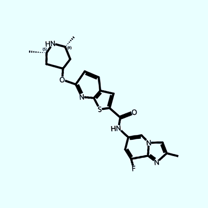 Cc1cn2cc(NC(=O)c3cc4ccc(OC5C[C@@H](C)N[C@@H](C)C5)nc4s3)cc(F)c2n1